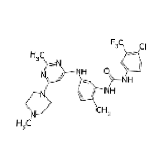 Cc1nc(Nc2ccc(C)c(NC(=O)Nc3ccc(Cl)c(C(F)(F)F)c3)c2)cc(N2CCN(C)CC2)n1